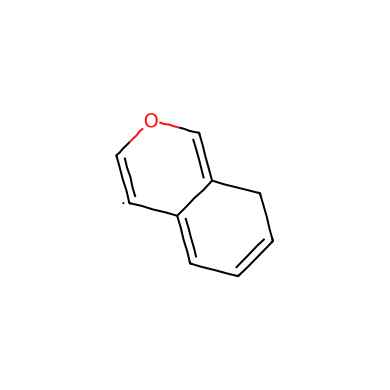 [C]1=COC=C2CC=CC=C12